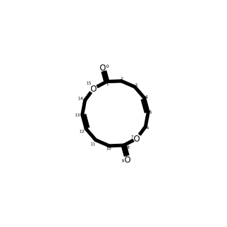 O=C1CCC=CCOC(=O)CCC=CCO1